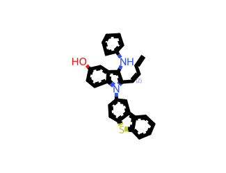 C=C/C=C\c1c(Nc2ccccc2)c2cc(O)ccc2n1-c1ccc2sc3ccccc3c2c1